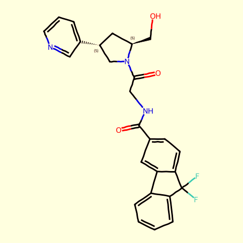 O=C(NCC(=O)N1C[C@H](c2cccnc2)C[C@H]1CO)c1ccc2c(c1)-c1ccccc1C2(F)F